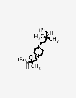 CC(C)NC(C)(C)CCN1CCN(CC(C)(C)NC(C)(C)C)CC1